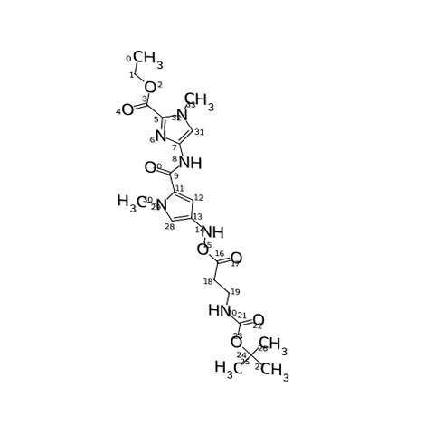 CCOC(=O)c1nc(NC(=O)c2cc(NOC(=O)CCNC(=O)OC(C)(C)C)cn2C)cn1C